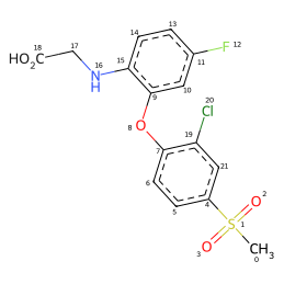 CS(=O)(=O)c1ccc(Oc2cc(F)ccc2NCC(=O)O)c(Cl)c1